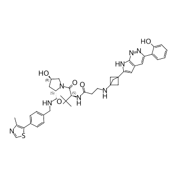 Cc1ncsc1-c1ccc(CNC(=O)[C@@H]2C[C@@H](O)CN2C(=O)[C@@H](NC(=O)CCNC23CC(c4cc5cc(-c6ccccc6O)nnc5[nH]4)(C2)C3)C(C)(C)C)cc1